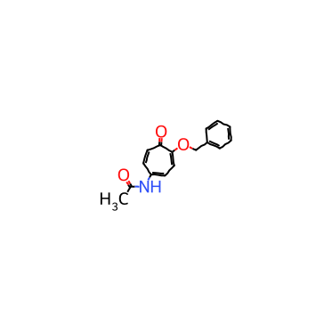 CC(=O)Nc1ccc(OCc2ccccc2)c(=O)cc1